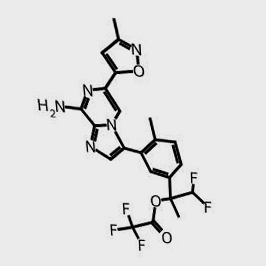 Cc1cc(-c2cn3c(-c4cc(C(C)(OC(=O)C(F)(F)F)C(F)F)ccc4C)cnc3c(N)n2)on1